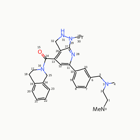 CNCCN(C)Cc1cccc(-c2cc(C(=O)N3CCc4ccccc4C3)c3c(n2)N(C(C)C)NC3)c1